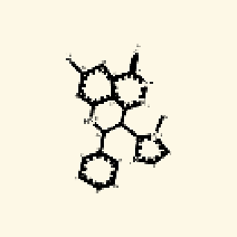 Cn1ccnc1C1c2n[nH]c(=O)c3cc(Cl)cc(c23)NC1c1ccccc1